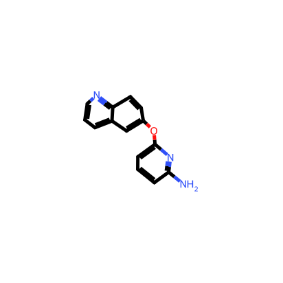 Nc1cccc(Oc2ccc3ncccc3c2)n1